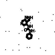 O=C(Nc1ccccc1)Nc1cncc2n[nH]cc12